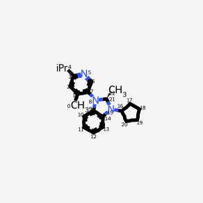 Cc1cc(C(C)C)ncc1N1c2ccccc2N(C2CCCC2)[C@H]1C